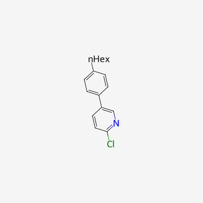 CCCCCCc1ccc(-c2ccc(Cl)nc2)cc1